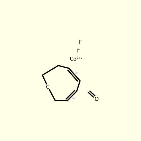 C1=C\CCCC\C=C/1.[C]=O.[Co+2].[I-].[I-]